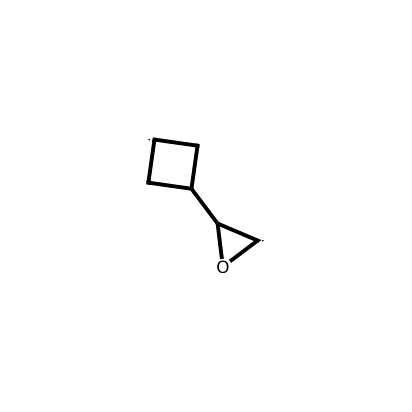 [CH]1CC(C2[CH]O2)C1